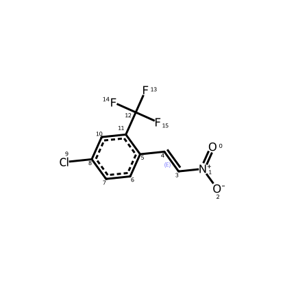 O=[N+]([O-])/C=C/c1ccc(Cl)cc1C(F)(F)F